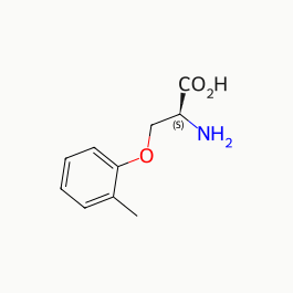 Cc1ccccc1OC[C@H](N)C(=O)O